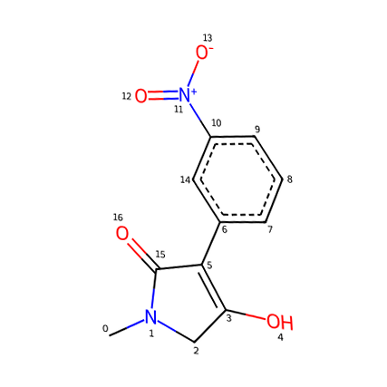 CN1CC(O)=C(c2cccc([N+](=O)[O-])c2)C1=O